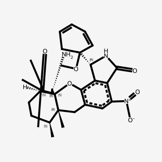 COC1([C@@H]2NC(=O)c3c([N+](=O)[O-])cc4c(c32)O[C@@]23C[C@@H](N)C(=O)C(C)(C)[C@@H]2CC[C@H](C)[C@@]3(C)C4)C=CC=CC1